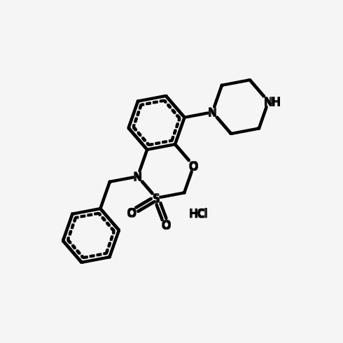 Cl.O=S1(=O)COc2c(N3CCNCC3)cccc2N1Cc1ccccc1